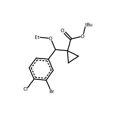 CCOC(c1ccc(Cl)c(Br)c1)C1(C(=O)OC(C)(C)C)CC1